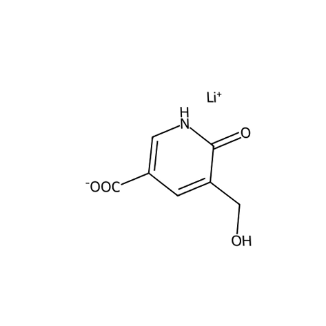 O=C([O-])c1c[nH]c(=O)c(CO)c1.[Li+]